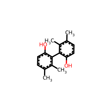 Cc1ccc(O)c(-c2c(O)ccc(C)c2C)c1C